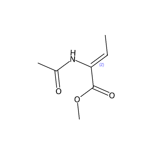 C/C=C(\NC(C)=O)C(=O)OC